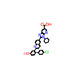 O=C(O)c1cnc2c(c1)nc(-c1ccc3nc(-c4cc(O)ccc4-c4ccc(Cl)cc4)ccc3c1)n2C1CCCCC1